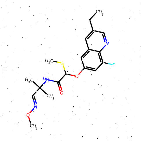 CCc1cnc2c(F)cc(OC(SC)C(=O)NC(C)(C)/C=N/OC)cc2c1